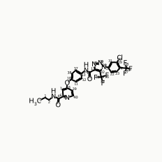 CCCNC(=O)c1cc(Oc2ccc(NC(=O)c3nnn(-c4ccc(C(F)(F)F)c(Cl)c4)c3C(F)(F)F)cc2)ccn1